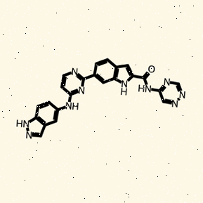 O=C(Nc1cnncn1)c1cc2ccc(-c3nccc(Nc4ccc5[nH]ncc5c4)n3)cc2[nH]1